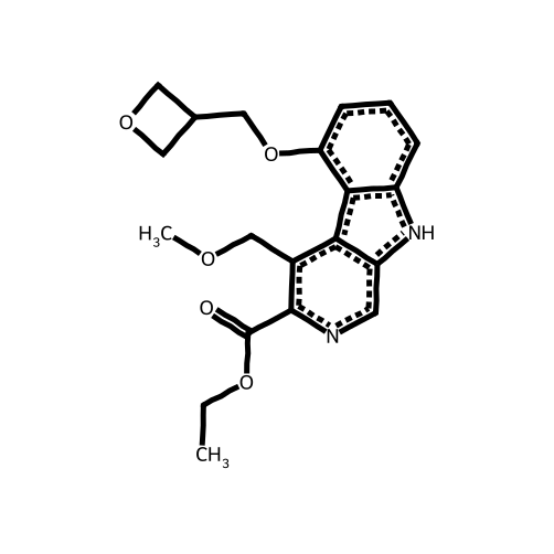 CCOC(=O)c1ncc2[nH]c3cccc(OCC4COC4)c3c2c1COC